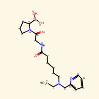 O=C(O)CN(CCCCCC(=O)NCC(=O)N1CCCC1B(O)O)Cc1ccccn1